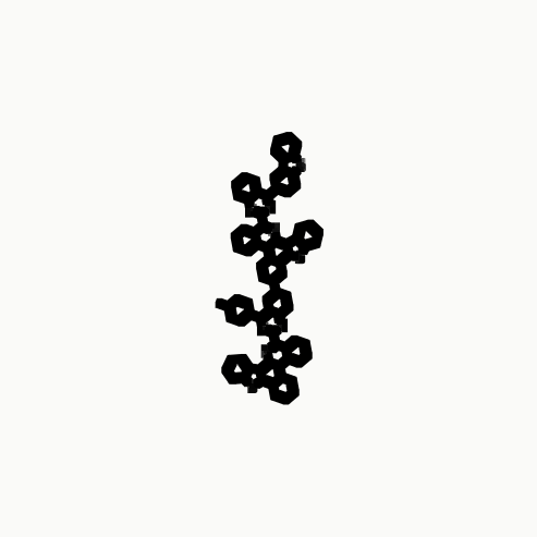 Cc1ccc(-c2nc(-c3nc4c(c5ccccc35)c3ccccc3c3sc5ccccc5c43)nc3ccc(-c4ccc5c(c4)c4sc6ccccc6c4c4nc(-c6nc(-c7ccc8sc9ccccc9c8c7)c7ccccc7n6)c6ccccc6c54)cc23)cc1